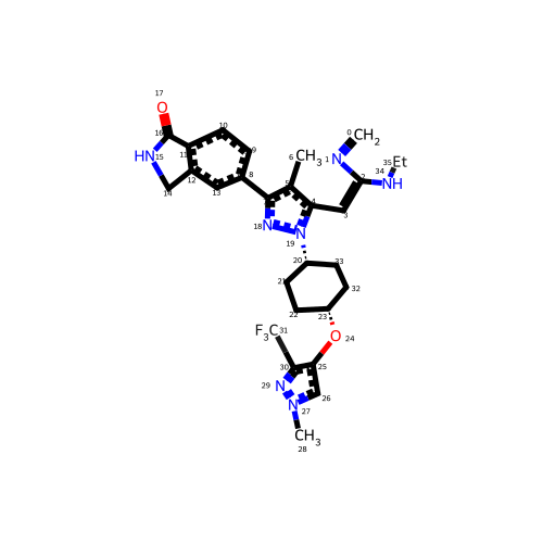 C=N/C(=C\c1c(C)c(-c2ccc3c(c2)CNC3=O)nn1[C@H]1CC[C@@H](Oc2cn(C)nc2C(F)(F)F)CC1)NCC